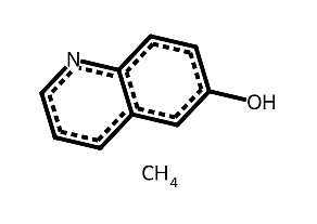 C.Oc1ccc2ncccc2c1